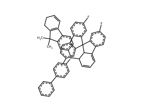 CC1(C)C2=C(C=CCC2)c2ccc(N(c3ccc(-c4ccccc4)cc3)C3C=CC=C4c5ccc(F)cc5C5(c6cc(F)ccc6-c6ccc(F)cc65)C43)cc21